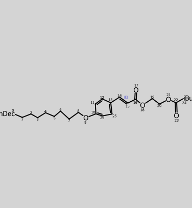 CCCCCCCCCCCCCCCCCCOc1ccc(/C=C/C(=O)OCCOC(=O)C(C)CC)cc1